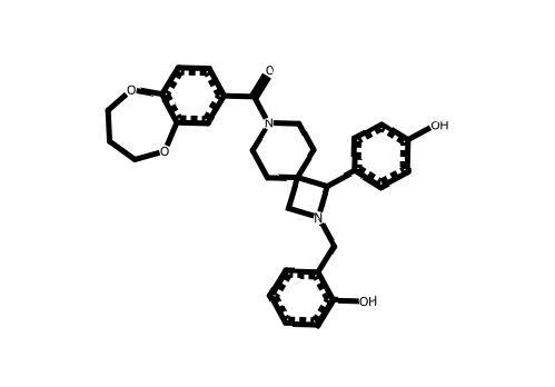 O=C(c1ccc2c(c1)OCCCO2)N1CCC2(CC1)CN(Cc1ccccc1O)C2c1ccc(O)cc1